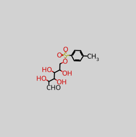 Cc1ccc(S(=O)(=O)OCC(O)C(O)C(O)C(O)C=O)cc1